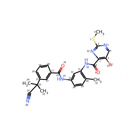 CSc1ncc(Br)c(C(=O)Nc2cc(NC(=O)c3cccc(C(C)(C)C#N)c3)ccc2C)n1